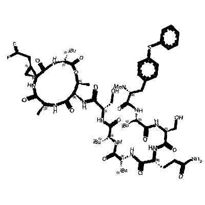 CC[C@H](C)[C@H](NC(=O)[C@@H](Cc1ccc(Sc2ccccc2)cc1)NC)C(=O)N[C@@H](CO)C(=O)N[C@H](CCC(N)=O)C(=O)N[C@@H](C(=O)N[C@H](C(=O)N[C@@H](CO)C(=O)N[C@H]1C(=O)N[C@@H](C)C(=O)N[C@@]2(C[C@H]2CC(F)F)C(=O)N[C@@H]([C@@H](C)CC)C(=O)O[C@H]1C)[C@@H](C)CC)[C@@H](C)CC